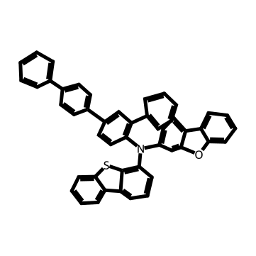 c1ccc(-c2ccc(-c3ccc(N(c4ccc5c(c4)oc4ccccc45)c4cccc5c4sc4ccccc45)c(-c4ccccc4)c3)cc2)cc1